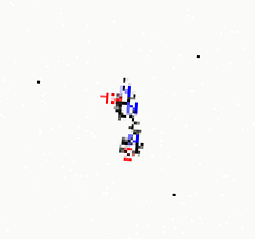 C/N=C/c1nc(CCCN2CCOCC2)ccc1O